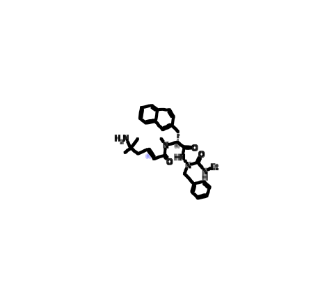 CCNC(=O)N(Cc1ccccc1)NC(=O)[C@@H](Cc1ccc2ccccc2c1)N(C)C(=O)/C=C/CC(C)(C)N